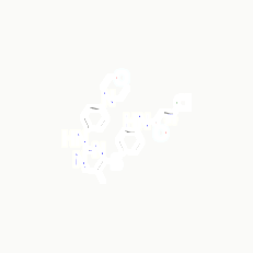 Cc1cnc(Nc2ccc(N3CCOCC3)cc2)nc1Sc1ccc(NC(=O)/C=C/Cl)cc1